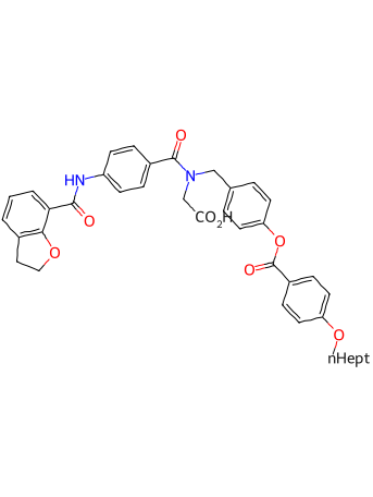 CCCCCCCOc1ccc(C(=O)Oc2ccc(CN(CC(=O)O)C(=O)c3ccc(NC(=O)c4cccc5c4OCC5)cc3)cc2)cc1